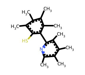 Cc1nc(-c2c(C)c(C)c(C)c(C)c2S)c(C)c(C)c1C